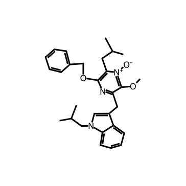 COc1c(Cc2cn(CC(C)C)c3ccccc23)nc(OCc2ccccc2)c(CC(C)C)[n+]1[O-]